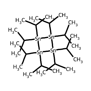 C[CH](C)[Sn]1([CH](C)C)[Sn]([CH](C)C)([CH](C)C)[Sn]([CH](C)C)([CH](C)C)[Sn]1([CH](C)C)[CH](C)C